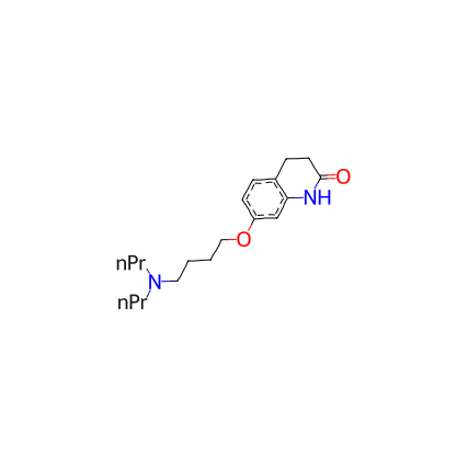 CCCN(CCC)CCCCOc1ccc2c(c1)NC(=O)CC2